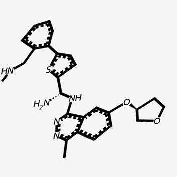 CNCc1ccccc1-c1ccc([C@@H](N)Nc2nnc(C)c3ccc(O[C@H]4CCOC4)cc23)s1